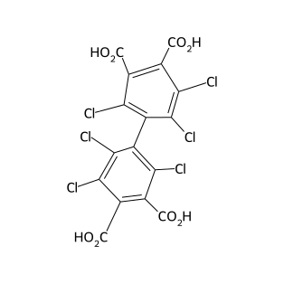 O=C(O)c1c(Cl)c(Cl)c(-c2c(Cl)c(Cl)c(C(=O)O)c(C(=O)O)c2Cl)c(Cl)c1C(=O)O